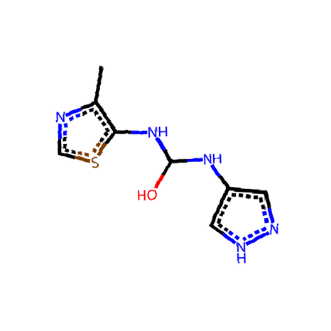 Cc1ncsc1NC(O)Nc1cn[nH]c1